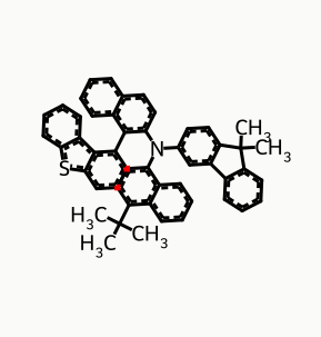 CC(C)(C)c1ccc(N(c2ccc3c(c2)-c2ccccc2C3(C)C)c2ccc3ccccc3c2-c2cccc3sc4ccccc4c23)c2ccccc12